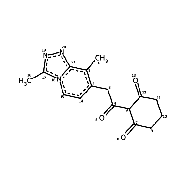 Cc1c(CC(=O)C2C(=O)CCCC2=O)ccn2c(C)nnc12